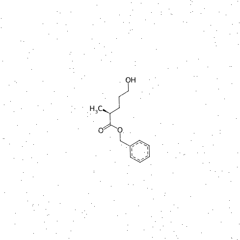 C[C@@H](CCCO)C(=O)OCc1ccccc1